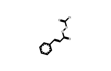 CCC(=O)OOC(=O)C=Cc1ccccc1